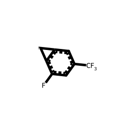 Fc1cc(C(F)(F)F)cc2c1[C]2